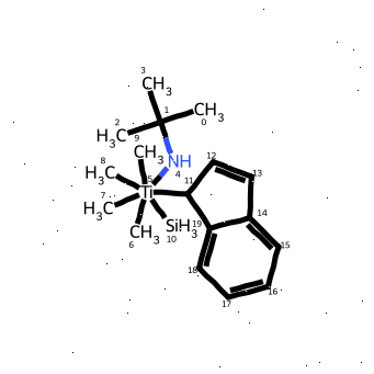 CC(C)(C)[NH][Ti]([CH3])([CH3])([CH3])([CH3])([SiH3])[CH]1C=Cc2ccccc21